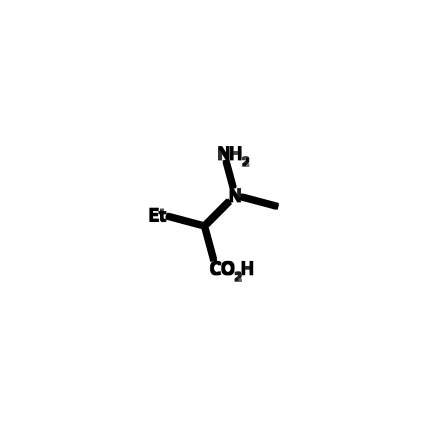 CCC(C(=O)O)N(C)N